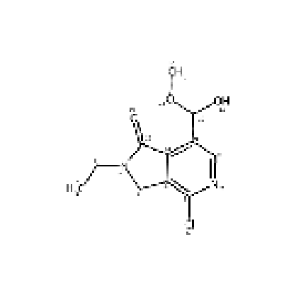 CCN1Cc2c(Cl)ncc(C(O)OC)c2C1=O